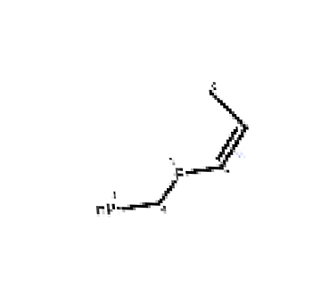 C/C=C\[P]CCCC